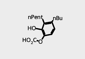 CCCCCc1c(CCCC)ccc(OC(=O)O)c1O